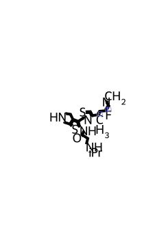 C=N/C=C(F)\C=C(/C)c1csc(-c2c(NC(=O)CCNC(C)C)sc3c2CCNC3)n1